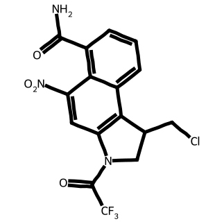 NC(=O)c1cccc2c3c(cc([N+](=O)[O-])c12)N(C(=O)C(F)(F)F)CC3CCl